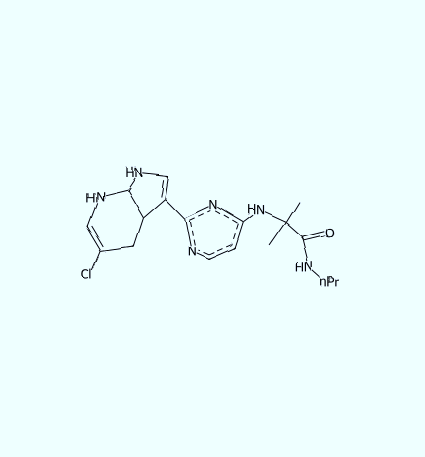 CCCNC(=O)C(C)(C)Nc1ccnc(C2=CNC3NC=C(Cl)CC23)n1